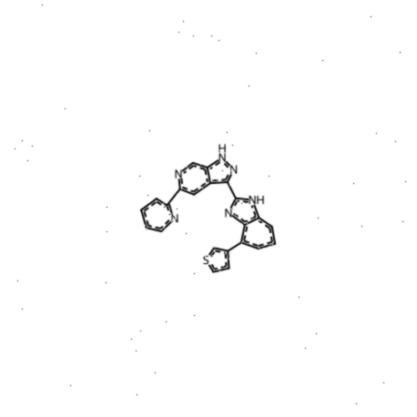 c1ccc(-c2cc3c(-c4nc5c(-c6ccsc6)cccc5[nH]4)n[nH]c3cn2)nc1